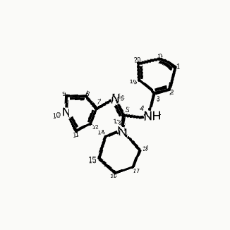 c1ccc(NC(=Nc2ccncc2)N2CCCCC2)cc1